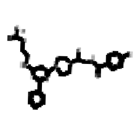 CC(=O)NCCNc1cc(N2CCN(C(=O)CNC(=O)c3ccc(Cl)cc3)CC2)nc(-c2ccccc2)n1